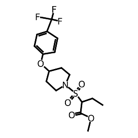 CCC(C(=O)OC)S(=O)(=O)N1CCC(Oc2ccc(C(F)(F)F)cc2)CC1